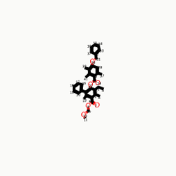 CCc1c(C)c(C(=O)OCOC)c(C)c(-c2ccccc2)c1OC(=O)c1c(C)cc(OCc2ccccc2)c(C)c1C